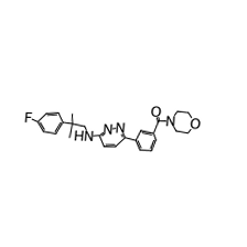 CC(C)(CNc1ccc(-c2cccc(C(=O)N3CCOCC3)c2)nn1)c1ccc(F)cc1